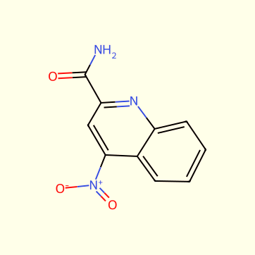 NC(=O)c1cc([N+](=O)[O-])c2ccccc2n1